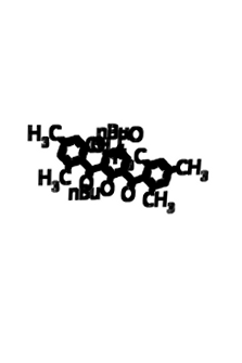 CCCCOc1c(P=O)cc(C(=O)c2c(C)cc(C)cc2C)c(OCCCC)c1C(=O)c1c(C)cc(C)cc1C